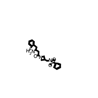 NC(CC(=O)N1CC(CNS(=O)(=O)c2ccccc2)C1)Cc1ccccc1F